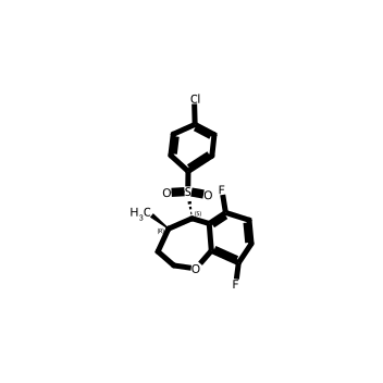 C[C@@H]1CCOc2c(F)ccc(F)c2[C@H]1S(=O)(=O)c1ccc(Cl)cc1